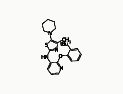 Cc1nc(Nc2cccnc2Oc2ccccc2C(C)(C)C)sc1N1CCCCC1